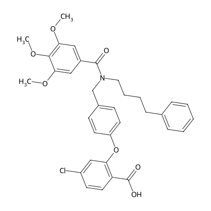 COc1cc(C(=O)N(CCCCc2ccccc2)Cc2ccc(Oc3cc(Cl)ccc3C(=O)O)cc2)cc(OC)c1OC